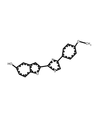 COc1ccc(-c2csc(-c3cc4cc(O)ccc4o3)n2)cc1